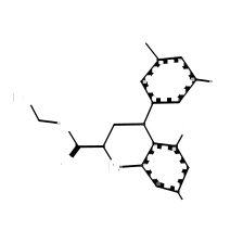 CCOC(=O)C1CC(c2cc(C)cc(C)c2)c2c(Cl)cc(Cl)cc2N1